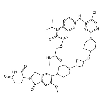 CNC(=O)COc1cc2cc(Nc3nc(N4CCC(OC5CC(N6CCC(c7cc8c(cc7OC)C(=O)N(C7CCC(=O)NC7=O)C8)CC6)C5)CC4)ncc3Cl)ccc2n(C(C)C)c1=O